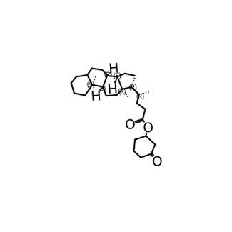 C[C@H](CCC(=O)OC1CCCC(=O)C1)[C@H]1CC[C@H]2[C@@H]3CCC4CCCC[C@]4(C)[C@H]3CC[C@]12C